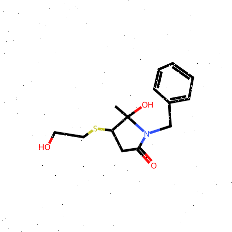 CC1(O)C(SCCO)CC(=O)N1Cc1ccccc1